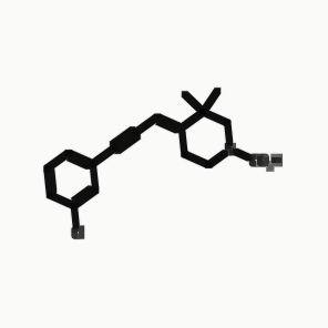 CC1(C)CN(C(=O)O)CC/C1=C\C#Cc1cccc(Cl)c1